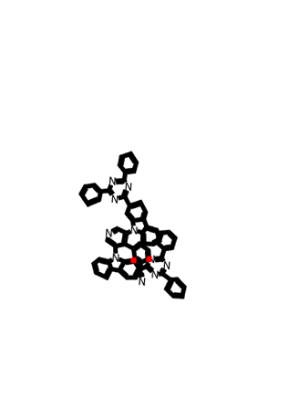 N#Cc1cccc(-c2c(-n3c4ccccc4c4ccc(-c5nc(-c6ccccc6)nc(-c6ccccc6)n5)cc43)cncc2-n2c3ccccc3c3ccc(-c4nc(-c5ccccc5)nc(-c5ccccc5)n4)cc32)c1